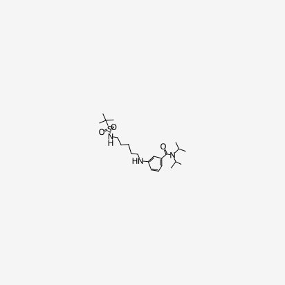 CC(C)N(C(=O)c1cccc(NCCCCCNS(=O)(=O)C(C)(C)C)c1)C(C)C